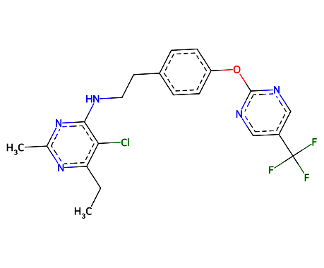 CCc1nc(C)nc(NCCc2ccc(Oc3ncc(C(F)(F)F)cn3)cc2)c1Cl